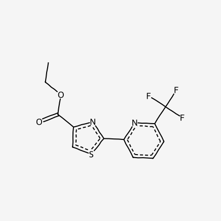 CCOC(=O)c1csc(-c2cccc(C(F)(F)F)n2)n1